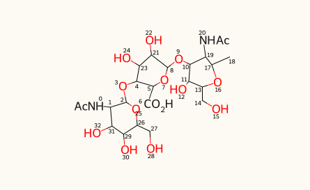 CC(=O)NC1C(OC2C(C(=O)O)OC(OC3C(O)C(CO)OC(C)C3NC(C)=O)C(O)C2O)OC(CO)C(O)C1O